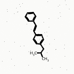 CC(C)Cc1ccc(C=Cc2ccccc2)cc1